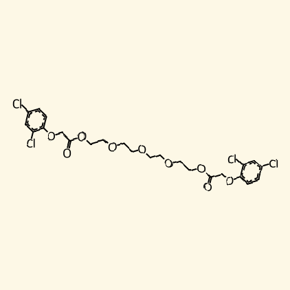 O=C(COc1ccc(Cl)cc1Cl)OCCOCCOCCOCCOC(=O)COc1ccc(Cl)cc1Cl